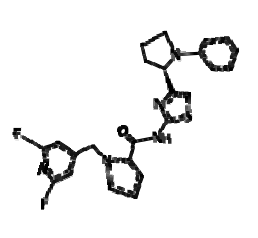 O=C(Nc1nc([C@H]2CCCN2c2ccccc2)cs1)c1cccn1Cc1cc(F)nc(F)c1